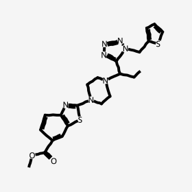 CCC(c1nnnn1Cc1cccs1)N1CCN(c2nc3ccc(C(=O)OC)cc3s2)CC1